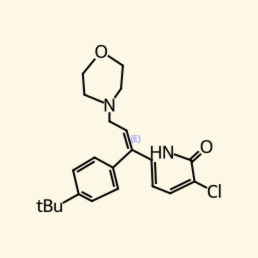 CC(C)(C)c1ccc(/C(=C\CN2CCOCC2)c2ccc(Cl)c(=O)[nH]2)cc1